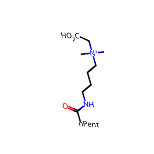 CCCCCC(=O)NCCCC[N+](C)(C)CC(=O)O